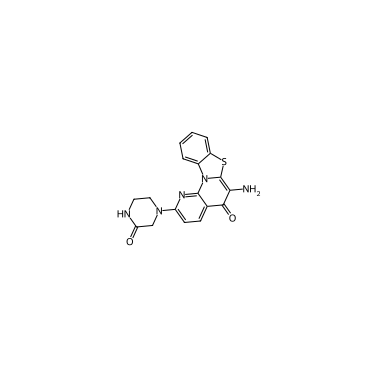 Nc1c(=O)c2ccc(N3CCNC(=O)C3)nc2n2c1sc1ccccc12